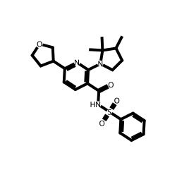 CC1CCN(c2nc(C3CCOC3)ccc2C(=O)NS(=O)(=O)c2ccccc2)C1(C)C